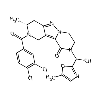 Cc1cnc(C(C)N2CCn3nc4c(c3C2=O)CN(C(=O)c2ccc(Cl)c(Cl)c2)[C@H](C)C4)o1